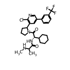 CNC(C)C(=O)N[C@H](C(=O)N1CCCC1c1cc(-c2cccc(C(F)(F)F)c2)cnc1Cl)C1CCCCC1